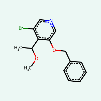 COC(C)c1c(Br)cncc1OCc1ccccc1